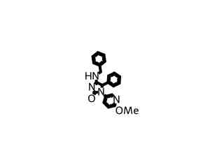 COc1ccc(N2C(=O)N=C(NCc3ccccc3)C2c2ccccc2)cn1